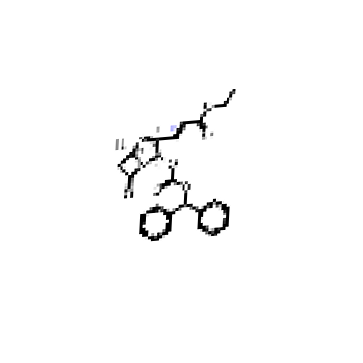 CCOC(=O)/C=C/[C@]1(C)S[C@@H]2CC(=O)N2[C@H]1OC(=O)OC(c1ccccc1)c1ccccc1